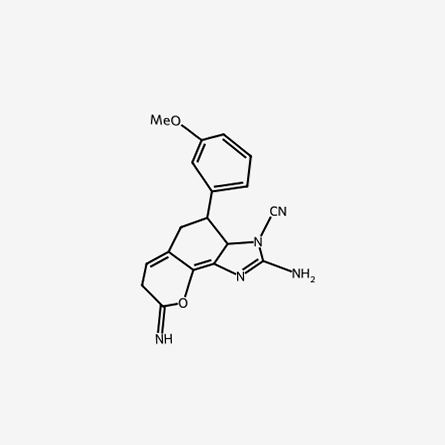 COc1cccc(C2CC3=CCC(=N)OC3=C3N=C(N)N(C#N)C32)c1